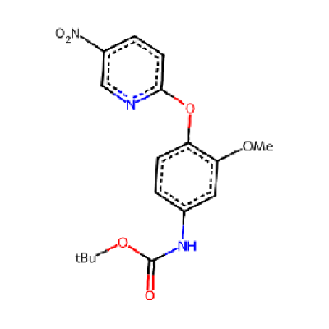 COc1cc(NC(=O)OC(C)(C)C)ccc1Oc1ccc([N+](=O)[O-])cn1